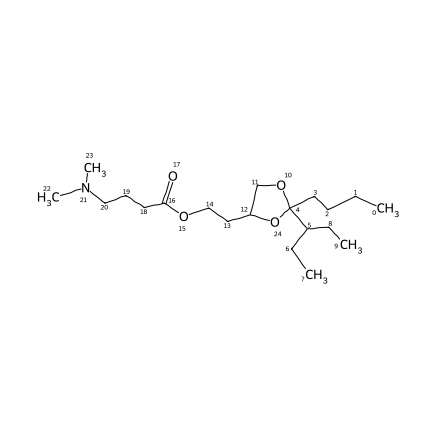 CCCCC1(C(CC)CC)OCC(CCOC(=O)CCCN(C)C)O1